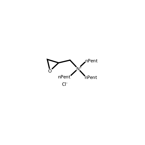 CCCCC[N+](CCCCC)(CCCCC)CC1CO1.[Cl-]